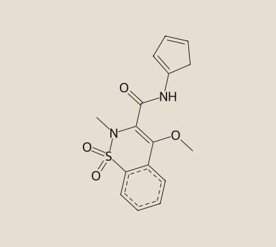 COC1=C(C(=O)NC2=CC=CC2)N(C)S(=O)(=O)c2ccccc21